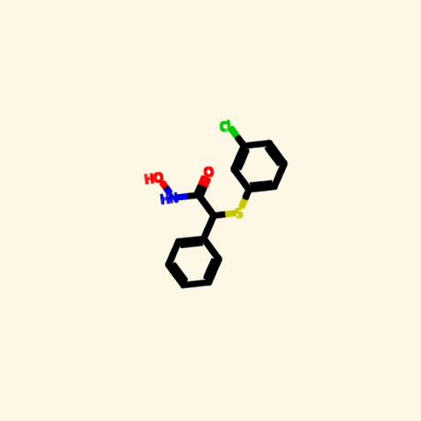 O=C(NO)C(Sc1cccc(Cl)c1)c1ccccc1